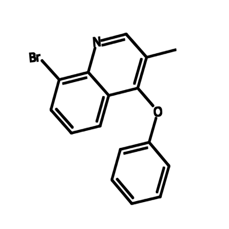 Cc1cnc2c(Br)cccc2c1Oc1ccccc1